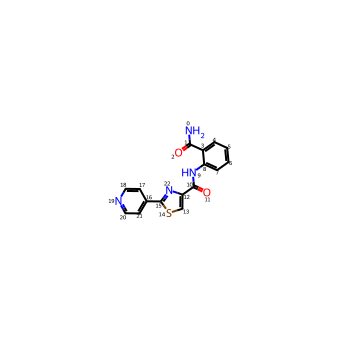 NC(=O)c1ccccc1NC(=O)c1csc(-c2ccncc2)n1